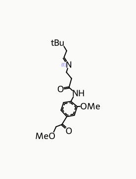 COCC(=O)c1ccc(NC(=O)CC/N=C/CC(C)(C)C)c(OC)c1